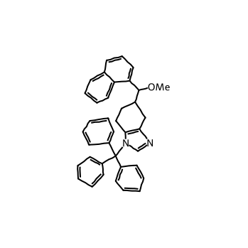 COC(c1cccc2ccccc12)C1CCc2c(ncn2C(c2ccccc2)(c2ccccc2)c2ccccc2)C1